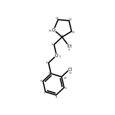 CCC1(COCc2ccccc2Cl)CCCO1